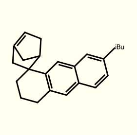 CCC(C)c1ccc2cc3c(cc2c1)C1(CCC3)CC2=CCC1C2